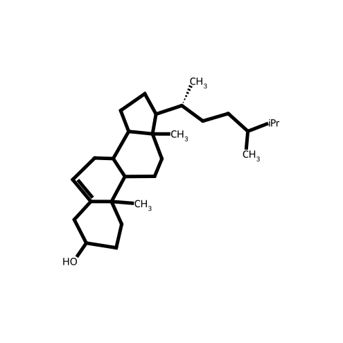 CC(C)C(C)CC[C@@H](C)C1CCC2C3CC=C4CC(O)CCC4(C)C3CCC21C